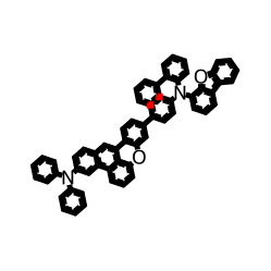 c1ccc(-c2ccccc2N(c2ccc(-c3ccc4c(c3)Oc3cccc5c3c-4cc3ccc(N(c4ccccc4)c4ccccc4)cc35)cc2)c2cccc3c2oc2ccccc23)cc1